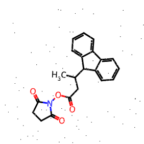 CC(CC(=O)ON1C(=O)CCC1=O)C1c2ccccc2-c2ccccc21